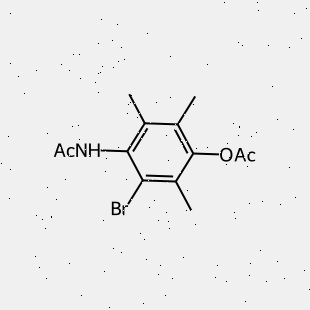 CC(=O)Nc1c(C)c(C)c(OC(C)=O)c(C)c1Br